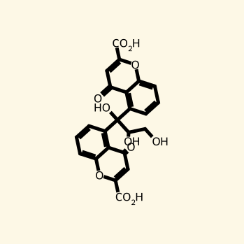 O=C(O)c1cc(=O)c2c(C(O)(c3cccc4oc(C(=O)O)cc(=O)c34)C(O)CO)cccc2o1